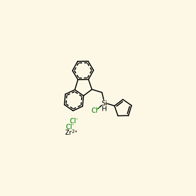 Cl[SiH](CC1c2ccccc2-c2ccccc21)C1=CC=CC1.[Cl-].[Cl-].[Zr+2]